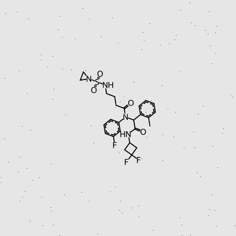 Cc1ccccc1C(C(=O)NC1CC(F)(F)C1)N(C(=O)CCCNS(=O)(=O)N1CC1)c1cccc(F)c1